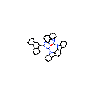 c1ccc(-c2nc(-c3cc4ccccc4c4ccccc34)nc(-n3c4ccccc4c4ccc5c6ccccc6n(-c6nc7ccccc7o6)c5c43)n2)cc1